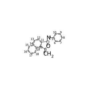 C=C1OC(=Nc2ccccc2)c2ccc3ccccc3c21